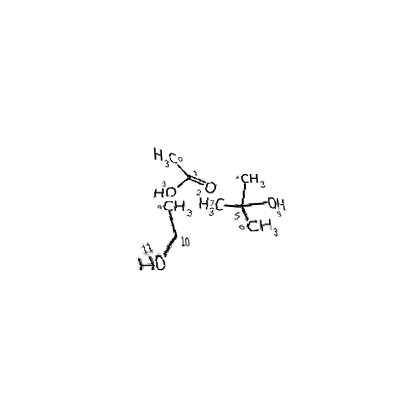 CC(=O)O.CC(C)(C)O.CCO